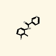 Cc1c(F)cccc1NC(=O)c1cccnc1